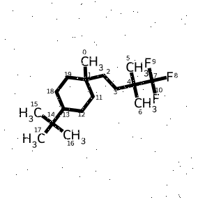 CC1(CCC(C)(C)C(F)(F)F)CCC(C(C)(C)C)CC1